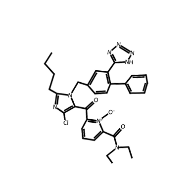 CCCCc1nc(Cl)c(C(=O)c2cccc(C(=O)N(CC)CC)[n+]2[O-])n1Cc1ccc(-c2ccccc2)c(-c2nnn[nH]2)c1